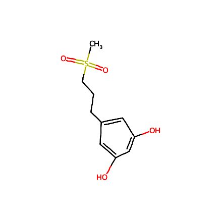 CS(=O)(=O)CCCc1cc(O)cc(O)c1